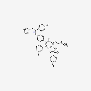 CSCC[C@H](NC(=O)c1ccc(/C=C(/Cn2ccnc2)c2ccc(F)cc2)cc1-c1ccc(F)cc1)C(=O)NS(=O)(=O)c1ccc(Cl)cc1